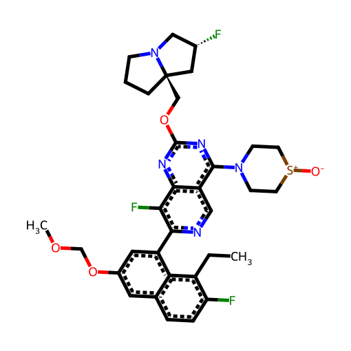 CCc1c(F)ccc2cc(OCOC)cc(-c3ncc4c(N5CC[S+]([O-])CC5)nc(OC[C@@]56CCCN5C[C@H](F)C6)nc4c3F)c12